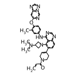 C=CC(=O)N1CC=C(c2ccc3ncnc(Nc4ccc(Oc5cc6ncnn6cn5)c(C)c4)c3c2N2CC(N(C)C)C2)CC1